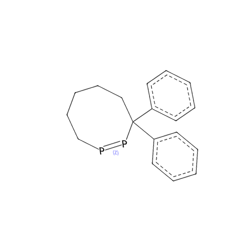 c1ccc(C2(c3ccccc3)CCCCC/P=P\2)cc1